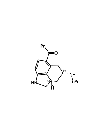 CCCN[C@H]1Cc2c(C(=O)C(C)C)ccc3c2[C@@H](CN3)C1